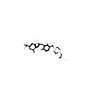 CC1CC(C(C)(F)F)=Cc2c1cc(Cc1c(Cl)ccc(C(=O)N3CCN(CC(=O)O)CC3)c1Cl)n2C